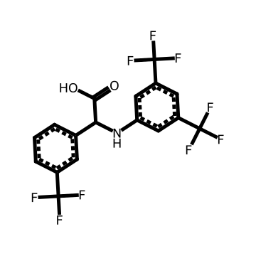 O=C(O)C(Nc1cc(C(F)(F)F)cc(C(F)(F)F)c1)c1cccc(C(F)(F)F)c1